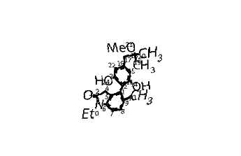 CCN1C(=O)Cc2c1ccc(C)c2-c1c(O)cc(CC(C)(C)OC)cc1O